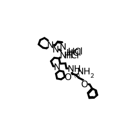 Cl.Cl.Cl.N[C@@H](CCOCc1ccccc1)C(=O)NCCC1C(Nc2nccc(N3CCCCCC3)n2)CCCN1C1CCCCC1